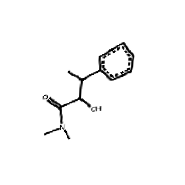 CC(c1ccccc1)C(O)C(=O)N(C)C